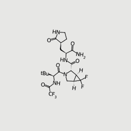 CC(C)(C)[C@H](NC(=O)C(F)(F)F)C(=O)N1C[C@H]2[C@@H]([C@H]1C(=O)N[C@@H](C[C@@H]1CCNC1=O)C(N)=O)C2(F)F